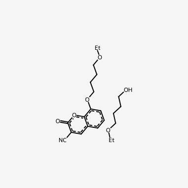 CCOCCCCO.CCOCCCCOc1cccc2cc(C#N)c(=O)oc12